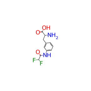 NC(Cc1cccc(NC(=O)C(F)F)c1)C(=O)O